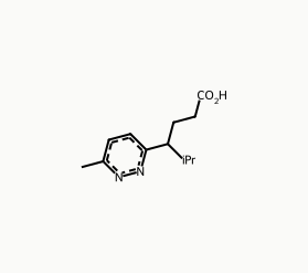 Cc1ccc(C(CCC(=O)O)C(C)C)nn1